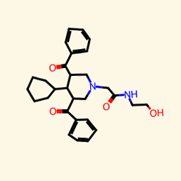 O=C(CN1CC(C(=O)c2ccccc2)C(C2CCCCC2)C(C(=O)c2ccccc2)C1)NCCO